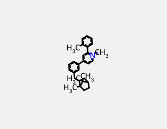 Cc1ccccc1-c1cc(-c2cccc(CC3CC4CCC3(C)C4(C)C)c2)cc[n+]1C